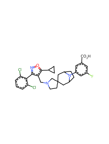 O=C(O)c1cc(F)cc(N2C3CCC2CC2(CCN(Cc4c(-c5c(Cl)cccc5Cl)noc4C4CC4)C2)C3)c1